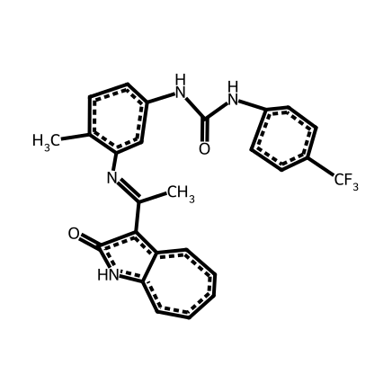 C/C(=N\c1cc(NC(=O)Nc2ccc(C(F)(F)F)cc2)ccc1C)c1c2cccccc-2[nH]c1=O